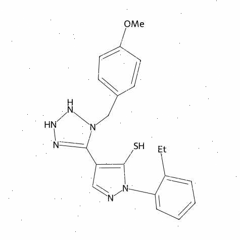 CCc1ccccc1-n1ncc(C2=NNNN2Cc2ccc(OC)cc2)c1S